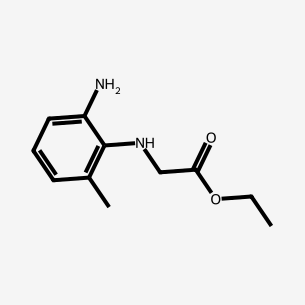 CCOC(=O)CNc1c(C)cccc1N